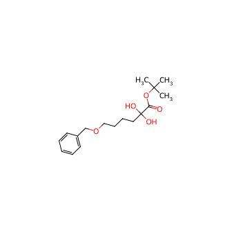 CC(C)(C)OC(=O)C(O)(O)CCCCOCc1ccccc1